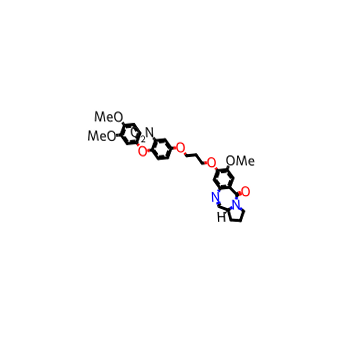 COc1ccc(Oc2ccc(OCCCOc3cc4c(cc3OC)C(=O)N3CCC[C@H]3C=N4)cc2[N+](=O)[O-])cc1OC